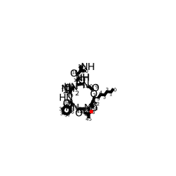 CCCCCC[C@@H]1OC(=O)CNC(=O)[C@H](CNC(=O)C2CNC2)NC(=O)[C@H](CN)NC(=O)[C@H](C2CCCCC2)NC(=O)[C@H](CC(C)C)N(C)C(=O)[C@@H]1C